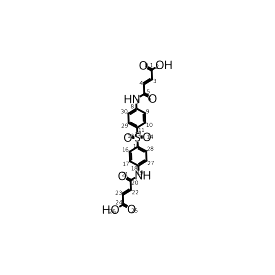 O=C(O)/C=C/C(=O)Nc1ccc(S(=O)(=O)c2ccc(NC(=O)/C=C/C(=O)O)cc2)cc1